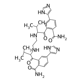 CC(C)C(NCCNC(C(=O)c1cc(-c2cnc[nH]2)ccc1C(N)=O)C(C)C)C(=O)c1cc(-c2cnc[nH]2)ccc1C(N)=O